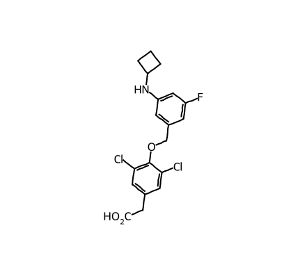 O=C(O)Cc1cc(Cl)c(OCc2cc(F)cc(NC3CCC3)c2)c(Cl)c1